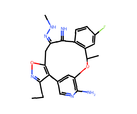 CCc1noc2c1-c1cnc(N)c(c1)OC(C)c1cc(F)ccc1C(=N)/C(=N\NC)C2